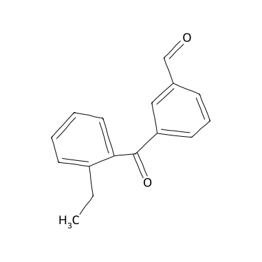 CCc1ccccc1C(=O)c1cccc(C=O)c1